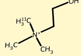 C[N+](C)([11CH3])CCO